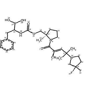 CC(C)(C=C(C#N)C(=O)N1CCC[C@]1(C)COC(=O)NC(Cc1ccccc1)B(O)O)N1CCC(F)(F)C1